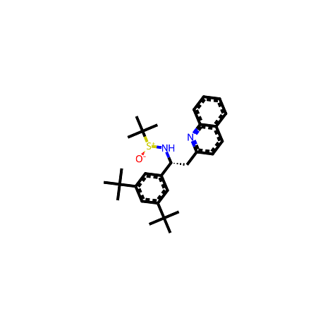 CC(C)(C)c1cc([C@@H](Cc2ccc3ccccc3n2)N[S@+]([O-])C(C)(C)C)cc(C(C)(C)C)c1